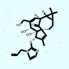 C=CCn1ccnc1O[C@H]1C(C)=C[C@@]23CCC4[C@H]([C@H](C=C(CO)[C@@H](O)[C@]12O)C3=O)C4(C)C